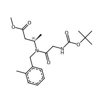 COC(=O)C[C@@H](C)N(Cc1ccccc1C)C(=O)CNC(=O)OC(C)(C)C